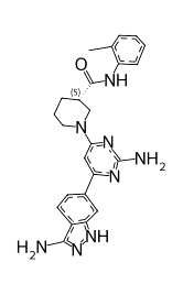 Cc1ccccc1NC(=O)[C@H]1CCCN(c2cc(-c3ccc4c(N)n[nH]c4c3)nc(N)n2)C1